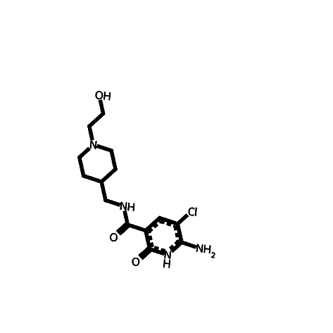 Nc1[nH]c(=O)c(C(=O)NCC2CCN(CCO)CC2)cc1Cl